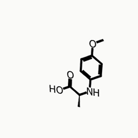 COc1ccc(N[C@@H](C)C(=O)O)cc1